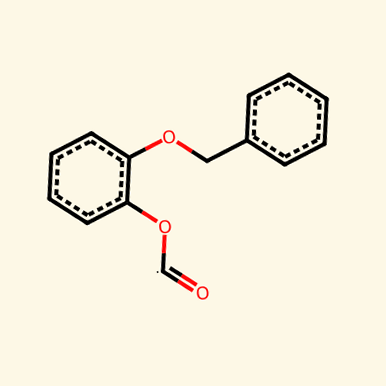 O=[C]Oc1ccccc1OCc1ccccc1